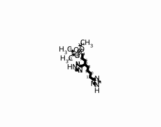 CCO[Si](CCCC(CCCCc1nc[nH]n1)c1nc[nH]n1)(OCC)OCC